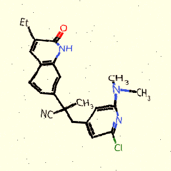 CCc1cc2ccc(C(C)(C#N)Cc3cc(Cl)nc(N(C)C)c3)cc2[nH]c1=O